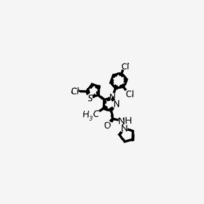 Cc1c(C(=O)NN2CCCC2)nn(-c2ccc(Cl)cc2Cl)c1-c1ccc(Cl)s1